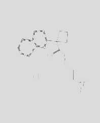 CN(C)CCSCC(=O)C1(c2ccc3ccccc3c2)CCC1.Cl